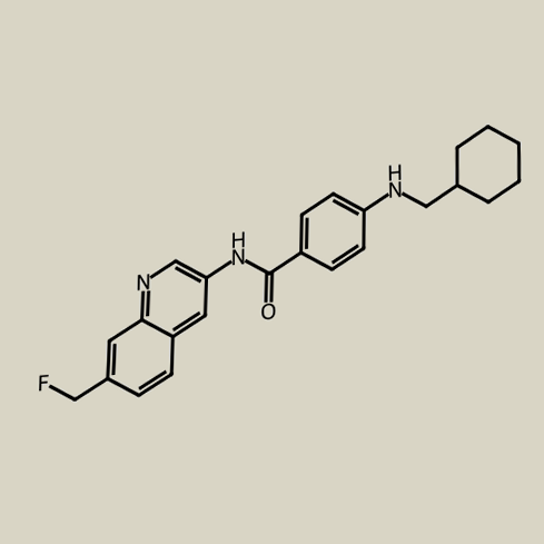 O=C(Nc1cnc2cc(CF)ccc2c1)c1ccc(NCC2CCCCC2)cc1